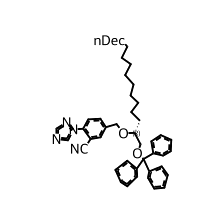 CCCCCCCCCCCCCCCCCCC[C@H](COC(c1ccccc1)(c1ccccc1)c1ccccc1)OCc1ccc(-n2cncn2)c(C#N)c1